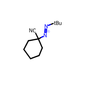 CC(C)(C)/N=N/C1(C#N)CCCCC1